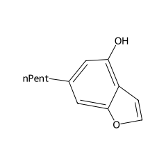 CCCCCc1cc(O)c2ccoc2c1